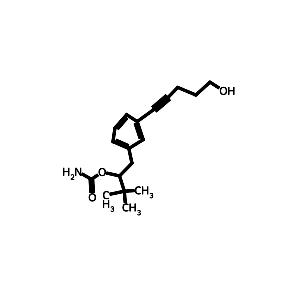 CC(C)(C)C(Cc1cccc(C#CCCCO)c1)OC(N)=O